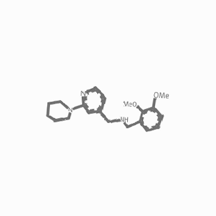 COc1cccc(CNCc2ccnc(N3CCCCC3)c2)c1OC